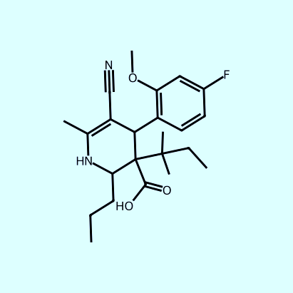 CCCC1NC(C)=C(C#N)C(c2ccc(F)cc2OC)C1(C(=O)O)C(C)(C)CC